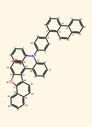 c1ccc(N(c2ccc(-c3cccc4c3ccc3ccccc34)cc2)c2ccccc2-c2cccc3oc4c5ccccc5ccc4c23)cc1